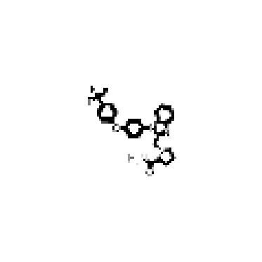 NC(=O)C1CCCN1Cc1nc2ccccc2n1-c1ccc(Oc2ccc(C(F)(F)F)cc2)cc1